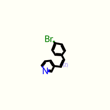 Brc1ccc(/C=C\c2cccnc2)cc1